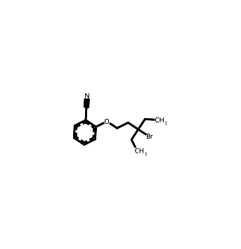 CCC(Br)(CC)CCOc1ccccc1C#N